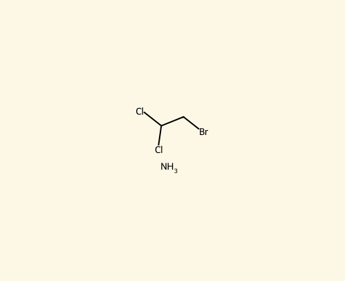 ClC(Cl)CBr.N